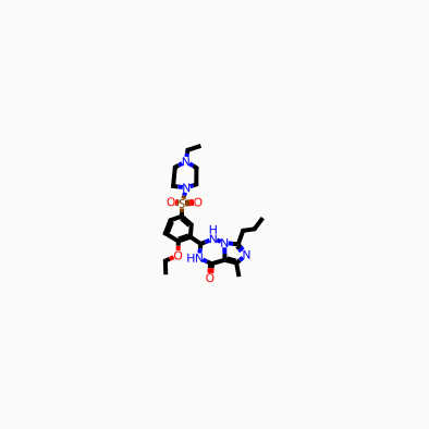 CCCc1nc(C)c2n1NC(c1cc(S(=O)(=O)N3CCN(CC)CC3)ccc1OCC)NC2=O